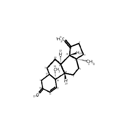 C=C1CC[C@@]2(C)CC[C@H]3[C@@H](CCC4CC(=O)C=C[C@@]43C)[C@H]12